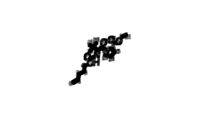 C=CCCCOC(=O)N[C@H](C(=O)N1CCC[C@H]1C(=O)OCC)C(C)(C)C